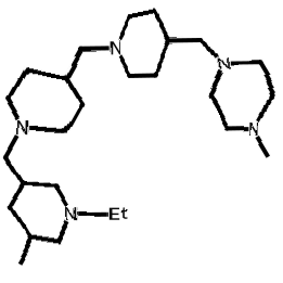 CCN1CC(C)CC(CN2CCC(CN3CCC(CN4CCN(C)CC4)CC3)CC2)C1